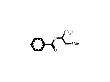 CSCC(OC(=O)c1ccccc1)C(=O)O